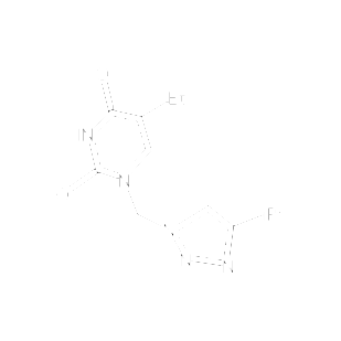 CCc1cn(Cn2cc(C(C)C)nn2)c(=O)[nH]c1=O